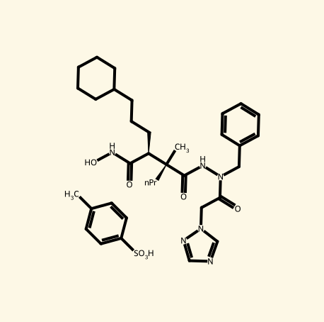 CCC[C@@](C)(C(=O)NN(Cc1ccccc1)C(=O)Cn1cncn1)[C@H](CCCC1CCCCC1)C(=O)NO.Cc1ccc(S(=O)(=O)O)cc1